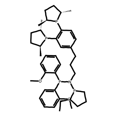 CC[C@@H]1CCCP1N(CCCc1ccc(P2[C@@H](C)CC[C@@H]2C)c(P2[C@@H](C)CC[C@@H]2C)c1)P(c1ccccc1OC)c1ccccc1OC